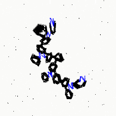 c1ccc(-n2c3ccc(-c4ccc5c(c4)c4ccccc4n5-c4cccnc4)cc3c3cc(-c4ccccc4-c4ccc5c(c4)c4cc(-c6ccc7c(c6)c6ccccc6n7-c6cccnc6)ccc4n5-c4ccccc4)ccc32)cc1